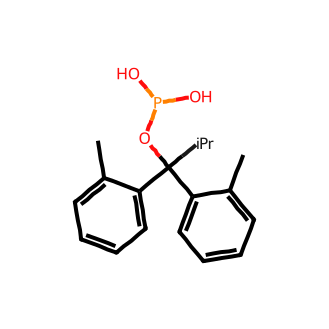 Cc1ccccc1C(OP(O)O)(c1ccccc1C)C(C)C